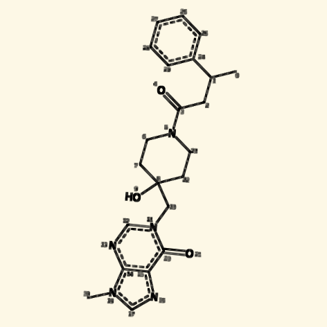 CC(CC(=O)N1CCC(O)(Cn2cnc3c(ncn3C)c2=O)CC1)c1ccccc1